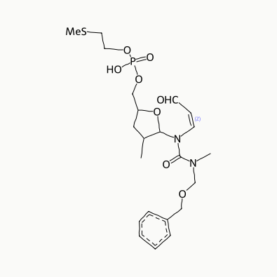 CSCCOP(=O)(O)OCC1CC(C)C(N(/C=C\C=O)C(=O)N(C)COCc2ccccc2)O1